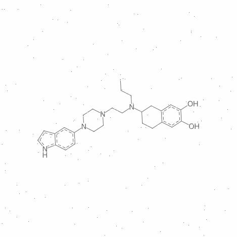 CCCN(CCN1CCN(c2ccc3[nH]ccc3c2)CC1)C1CCc2cc(O)c(O)cc2C1